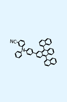 N#Cc1cccc(N(c2ccccc2)c2ccc(-c3ccc4c(-c5cccc6ccccc56)c5ccccc5c(-c5cccc6ccccc56)c4c3)cc2)c1